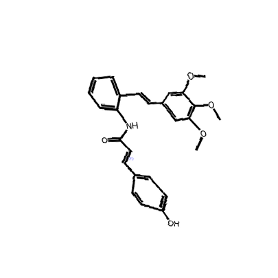 COc1cc(C=Cc2ccccc2NC(=O)/C=C/c2ccc(O)cc2)cc(OC)c1OC